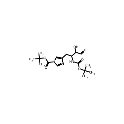 CC(C)(C)OC(=O)NC(Cc1cn(C(=O)OC(C)(C)C)cn1)C(O)C=O